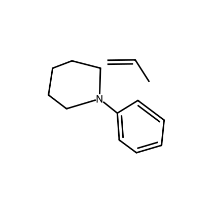 C=CC.c1ccc(N2CCCCC2)cc1